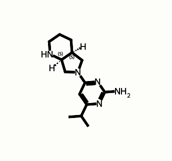 CC(C)c1cc(N2C[C@@H]3CCCN[C@@H]3C2)nc(N)n1